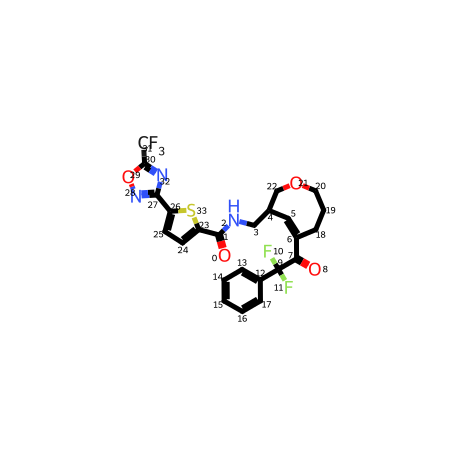 O=C(NCC1/C=C(\C(=O)C(F)(F)c2ccccc2)CCCOC1)c1ccc(-c2noc(C(F)(F)F)n2)s1